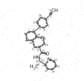 C#Cc1ccc(-c2cccc3cc(C(=O)N[C@@H](C)c4ccccn4)cnc23)cc1